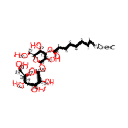 CCCCCCCCCCCCCCCCCC(=O)O[C@@H]1[C@@H](O)[C@@H](O[C@H]2O[C@H](CO)[C@@H](O)[C@H](O)[C@H]2O)O[C@H](CO)[C@H]1O